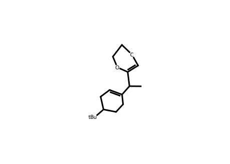 CC(C1=CCC(C(C)(C)C)CC1)C1=CCCCO1